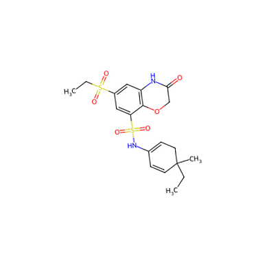 CCC1(C)C=CC(NS(=O)(=O)c2cc(S(=O)(=O)CC)cc3c2OCC(=O)N3)=CC1